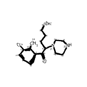 CCCCCCCCCCCCCC(C(=O)c1cccc(Cl)c1C)N1CCNCC1